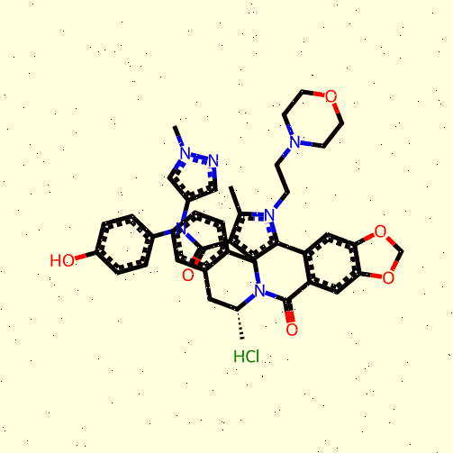 Cc1c(C(=O)N(c2ccc(O)cc2)c2cnn(C)c2)cc(-c2cc3c(cc2C(=O)N2Cc4ccccc4C[C@H]2C)OCO3)n1CCN1CCOCC1.Cl